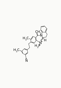 C=C1c2cc(C)c(CCc3cc(C)cc(C#N)c3)cc2N(P)C[C@@H]2CCc3ccccc3N12